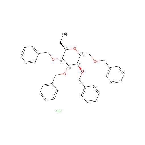 Cl.[Hg][CH2][C@H]1O[C@H](COCc2ccccc2)[C@@H](OCc2ccccc2)[C@H](OCc2ccccc2)[C@@H]1OCc1ccccc1